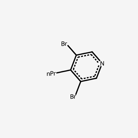 CCCc1c(Br)cncc1Br